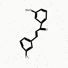 COc1cccc(C(=O)/C=C/c2cccc(C(F)(F)F)c2)c1